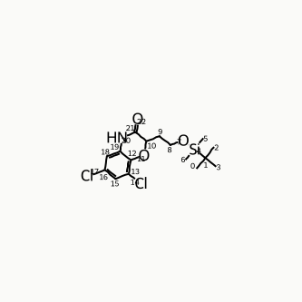 CC(C)(C)[Si](C)(C)OCCC1Oc2c(Cl)cc(Cl)cc2NC1=O